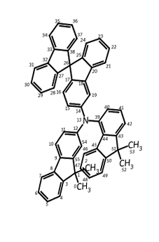 CC1(C)c2ccccc2-c2ccc(N(c3ccc4c(c3)-c3ccccc3C43c4ccccc4-c4ccccc43)c3cccc4c3-c3ccccc3C4(C)C)cc21